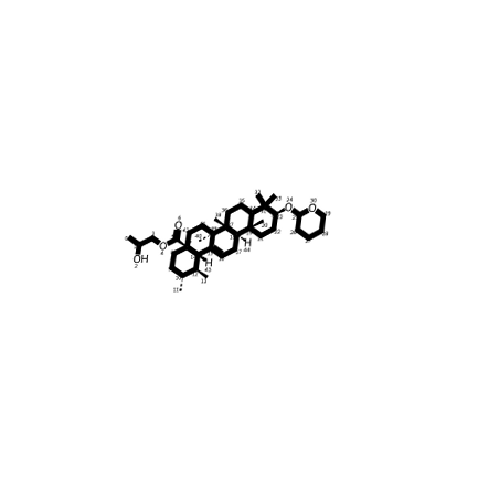 CC(O)COC(=O)[C@]12CC[C@@H](C)[C@H](C)[C@H]1C1=CC[C@@H]3[C@@]4(C)CC[C@H](OC5CCCCO5)C(C)(C)C4CC[C@@]3(C)[C@]1(C)CC2